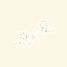 CN(CCc1c[nH]c2ccccc12)Cc1cccc(CO)c1CO